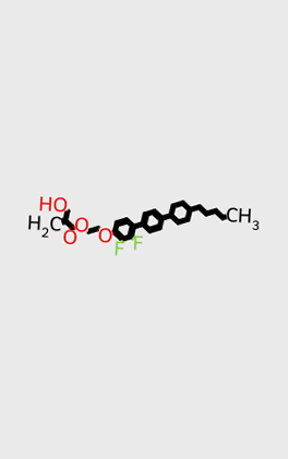 C=C(CO)C(=O)OCCOc1ccc(-c2ccc(C3CCC(CCCCC)CC3)cc2)c(F)c1F